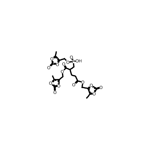 Cc1oc(=O)oc1COC(=O)CCC(CP(=O)(O)OCc1oc(=O)oc1C)C(=O)OCc1oc(=O)oc1C